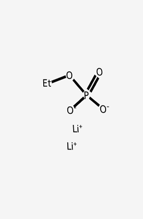 CCOP(=O)([O-])[O-].[Li+].[Li+]